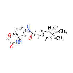 CC(C)(C)c1ccc(/C=C/C(=O)Nc2ccc3c(c2)NC(=O)CO3)cc1